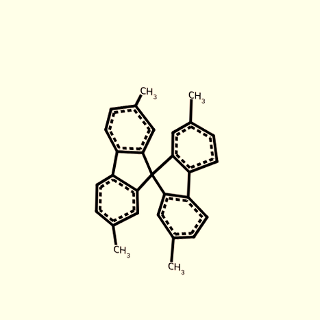 Cc1ccc2c(c1)C1(c3cc(C)ccc3-2)c2cc(C)ccc2-c2ccc(C)cc21